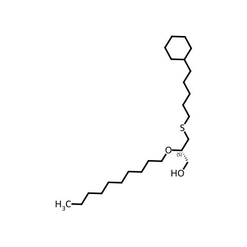 CCCCCCCCCCO[C@@H](CO)CSCCCCCC1CCCCC1